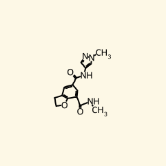 CNC(=O)c1cc(C(=O)Nc2cnn(C)c2)cc2c1OCC2